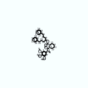 COc1cc(N(C)C(=O)N2CCCC[C@H]2C(=O)OC(CCCc2cccnc2)CCCc2cccnc2)cc(OC)c1OC